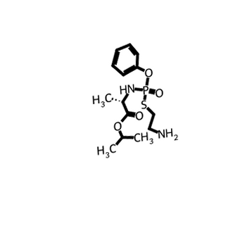 CC(C)OC(=O)[C@H](C)NP(=O)(Oc1ccccc1)SCCN